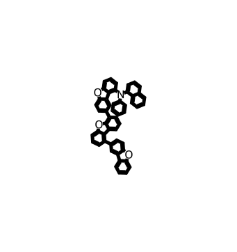 c1ccc(N(c2cccc3ccccc23)c2cccc3oc4ccc(-c5cccc6c5oc5cccc(-c7ccc8oc9ccccc9c8c7)c56)cc4c23)cc1